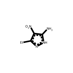 CCc1n[nH]c(N)c1[N+](=O)[O-]